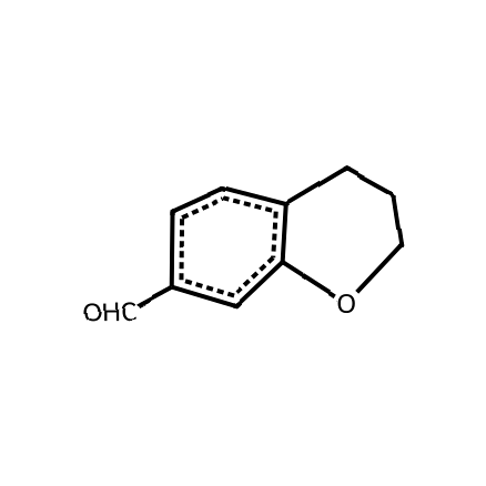 O=Cc1ccc2c(c1)OCCC2